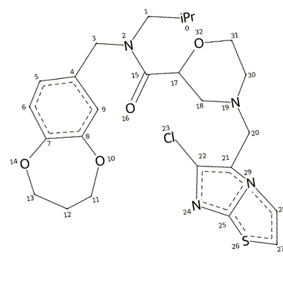 CC(C)CN(Cc1ccc2c(c1)OCCCO2)C(=O)C1CN(Cc2c(Cl)nc3sccn23)CCO1